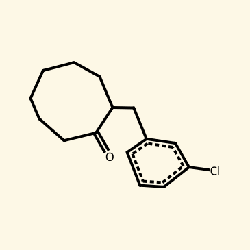 O=C1CCCCCCC1Cc1cccc(Cl)c1